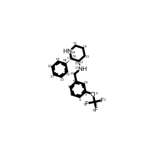 FC(F)(F)Oc1cccc(CN[C@H]2CCCN[C@H]2c2ccccc2)c1